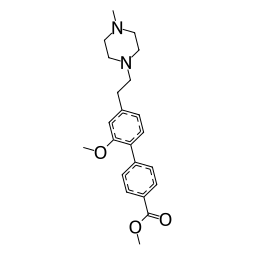 COC(=O)c1ccc(-c2ccc(CCN3CCN(C)CC3)cc2OC)cc1